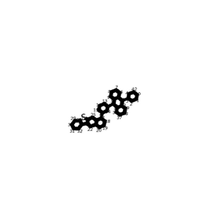 c1ccc(-c2c3ccccc3c(-c3cccc(-c4cccc5cc6c(cc45)sc4ccccc46)c3)c3ccccc23)cc1